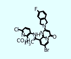 C[C@@H](Nc1ccc(Cl)nc1C(=O)O)c1cc(Br)cn2c(=O)cc(N3Cc4ccc(F)cc4C3)nc12